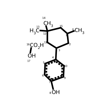 CC1CC(c2ccc(O)cc2)CC(C)(C)C1.O=C(O)O